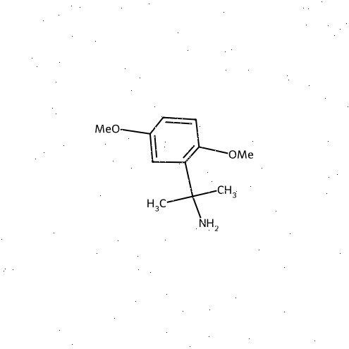 COc1ccc(OC)c(C(C)(C)N)c1